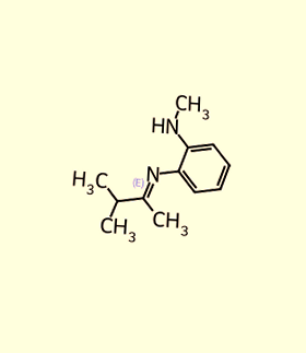 CNc1ccccc1/N=C(\C)C(C)C